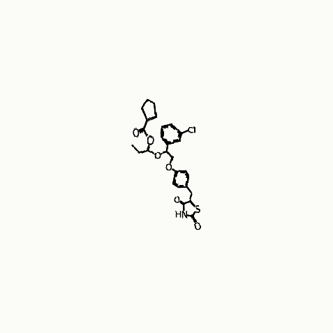 CCC(OC(=O)C1CCCC1)OC(COc1ccc(CC2SC(=O)NC2=O)cc1)c1cccc(Cl)c1